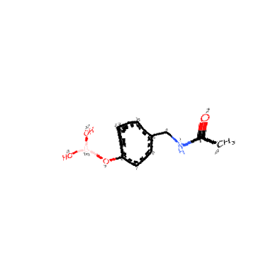 CC(=O)NCc1ccc(OB(O)O)cc1